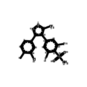 Cc1ccc(-c2noc(C(F)(F)F)c2-c2cc(F)c(S(N)(=O)=O)c(F)c2)cc1Cl